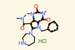 CN(C)C(=O)c1c(N2CCCNCC2)n(Cc2ccccc2)c2c(=O)n(C)c(=O)n(C)c12.Cl